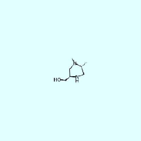 C[C@@H]1CN[C@@H](CO)CN1C